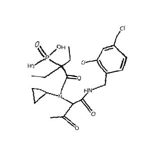 CCC(CC)(C(=O)N(C1CC1)C(C(C)=O)C(=O)NCc1ccc(Cl)cc1Cl)P(=O)(O)O